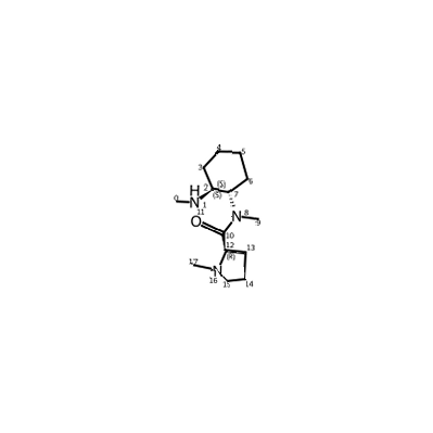 CN[C@H]1CCCC[C@@H]1N(C)C(=O)[C@H]1CCCN1C